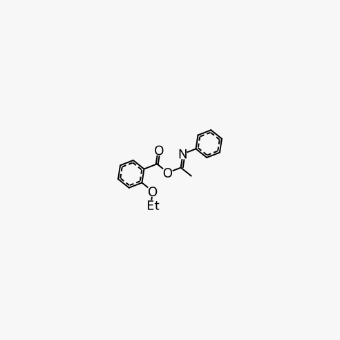 CCOc1ccccc1C(=O)OC(C)=Nc1ccccc1